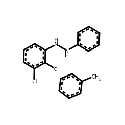 Cc1ccccc1.Clc1cccc(NNc2ccccc2)c1Cl